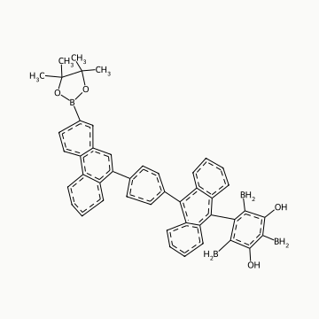 Bc1c(O)c(B)c(-c2c3ccccc3c(-c3ccc(-c4cc5cc(B6OC(C)(C)C(C)(C)O6)ccc5c5ccccc45)cc3)c3ccccc23)c(B)c1O